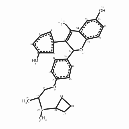 CC1=C(c2cccc(O)c2)C(c2ccc(OCC(C)N(C)C3CCC3)cc2)Oc2ccc(O)cc21